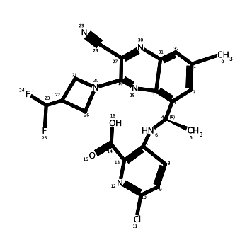 Cc1cc([C@@H](C)Nc2ccc(Cl)nc2C(=O)O)c2nc(N3CC(C(F)F)C3)c(C#N)nc2c1